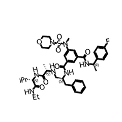 CCNC(=O)[C@@H](NC(=O)[C@H](C)NC[C@H](Cc1ccccc1)NC(=O)c1cc(C(=O)N[C@H](C)c2ccc(F)cc2)cc(N(C)S(=O)(=O)N2CCOCC2)c1)C(C)C